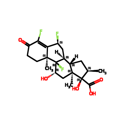 C[C@@H]1C[C@H]2[C@@H]3C[C@H](F)C4=C(F)C(=O)CC[C@]4(C)[C@@]3(F)[C@@H](O)C[C@]2(C)[C@@]1(O)C(=O)O